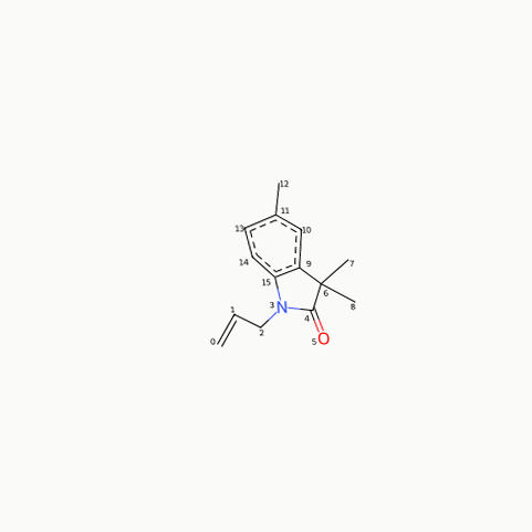 C=CCN1C(=O)C(C)(C)c2cc(C)ccc21